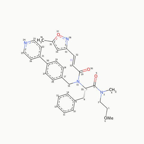 COCCN(C)C(=O)[C@H](Cc1ccccc1)N(Cc1ccc(-c2ccncc2)cc1)C(=O)/C=C/c1cc(C)on1